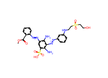 COC(=O)c1ccccc1/N=N/c1cc(S(=O)(=O)O)c(N)c(/N=N/c2cccc(NCCS(=O)(=O)CCO)c2)c1N